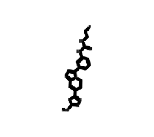 CSc1nnc(-c2ccn3c(-c4cccc(NC(=O)NCCF)c4)cnc3c2)o1